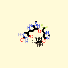 [2H]C([2H])([2H])C([2H])([2H])Oc1cc([C@@H](Oc2nn(C)c3nnc(-c4c[nH]c(=O)[nH]c4=O)cc23)C(F)F)ncn1